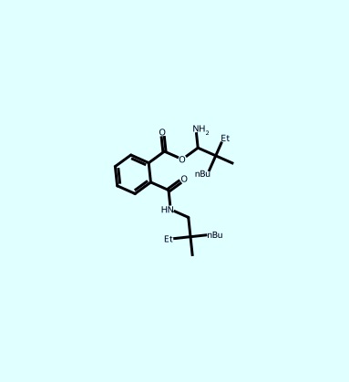 CCCCC(C)(CC)CNC(=O)c1ccccc1C(=O)OC(N)C(C)(CC)CCCC